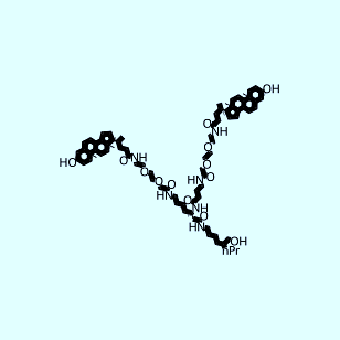 CCCC(CO)CCCCNC(=O)C[C@H](CCCCNC(=O)COCCOCCNC(=O)CCC(C)[C@H]1CCC2C3CC=C4C[C@@H](O)CC[C@]4(C)C3CC[C@@]21C)NC(=O)CCCNC(=O)COCCOCCNC(=O)CCC(C)[C@H]1CCC2C3CC=C4C[C@@H](O)CC[C@]4(C)C3CC[C@@]21C